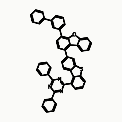 c1ccc(-c2cccc(-c3ccc(-c4ccc5c(c4)sc4cccc(-c6nc(-c7ccccc7)nc(-c7ccccc7)n6)c45)c4c3oc3ccccc34)c2)cc1